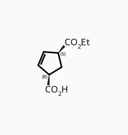 CCOC(=O)[C@@H]1C=C[C@H](C(=O)O)C1